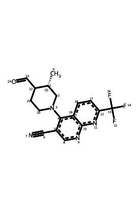 C[C@@H]1CN(c2c(C#N)cnc3nc(C(F)(F)F)ccc23)CCC1C=O